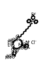 CC[C@H]1OC(=O)[C@H](C)[C@@H](O[C@H]2C[C@@](C)(OC)[C@@H](O)[C@H](C)O2)[C@H](C)[C@@H](O[C@@H]2O[C@H](C)C[C@H](N(C)C)[C@H]2O)[C@](C)(O)C[C@@H](C)CN(C(=O)CCCCCCCCCCC[P+](c2ccccc2)(c2ccccc2)C2CCC(F)(F)CC2)[C@H](C)[C@@H](O)[C@]1(C)O.[Cl-]